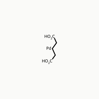 O=C(O)CCCC(=O)O.[Pd]